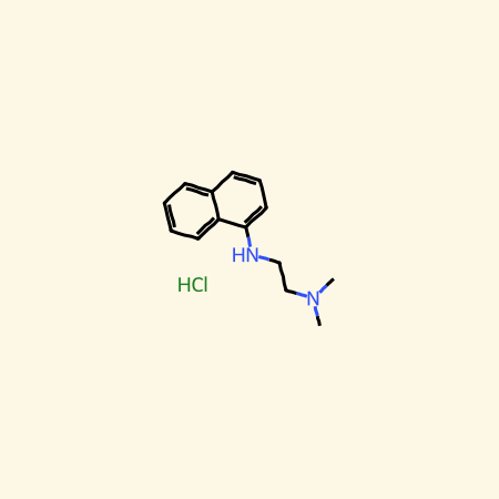 CN(C)CCNc1cccc2ccccc12.Cl